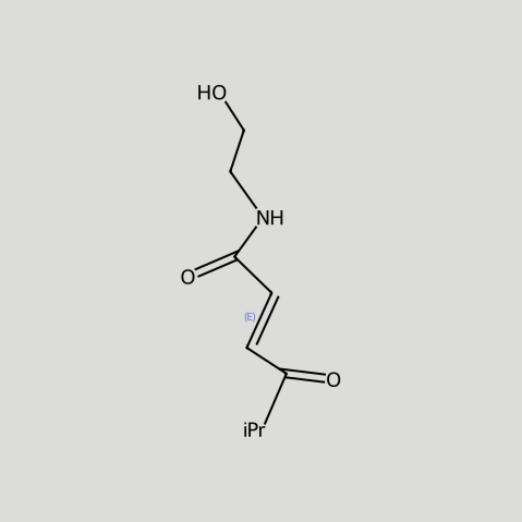 CC(C)C(=O)/C=C/C(=O)NCCO